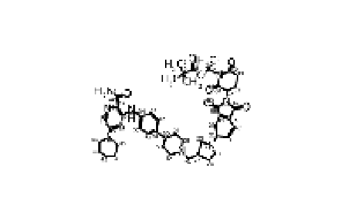 CC(OC(=O)C(C)(C)C)N1C(=O)CCC(N2C(=O)C3=C(CC(N4CCC(CN5CCC(c6ccc(Nc7nc(N8CCCCC8)nnc7C(N)=O)cc6)CC5)C4)C=C3)C2=O)C1=O